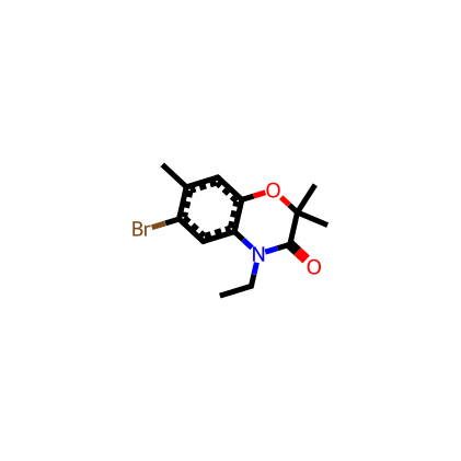 CCN1C(=O)C(C)(C)Oc2cc(C)c(Br)cc21